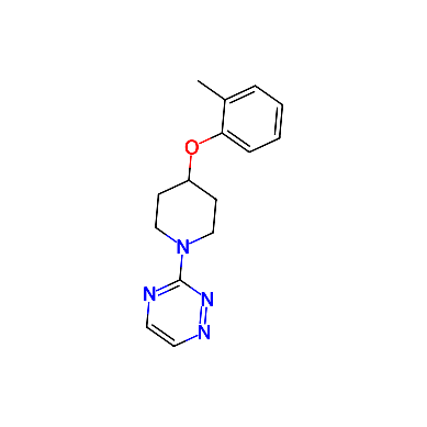 Cc1ccccc1OC1CCN(c2nccnn2)CC1